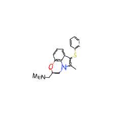 CNCC1Cn2c(C)c(Sc3ccccc3)c3cccc(c32)O1